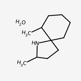 CC1CCC2(CCCCC2C)N1.O